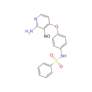 Nc1nccc(Oc2ccc(NS(=O)(=O)c3ccccc3)cc2)c1N=O